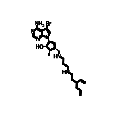 C=C/C=C(\C=C)CCNCCCNC[C@H]1C[C@@H](n2cc(Br)c3c(N)ncnc32)[C@H](O)[C@@H]1C